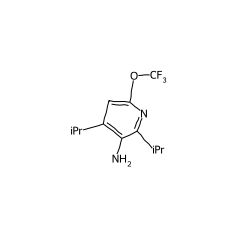 CC(C)c1cc(OC(F)(F)F)nc(C(C)C)c1N